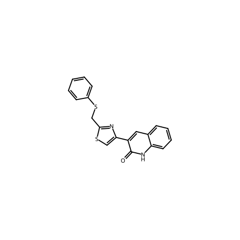 O=c1[nH]c2ccccc2cc1-c1csc(CSc2ccccc2)n1